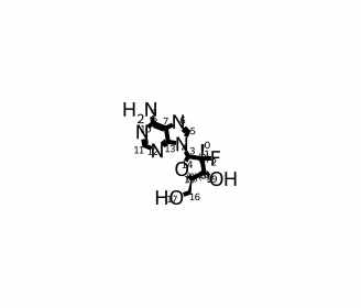 C[C@]1(F)C(n2cnc3c(N)ncnc32)O[C@H](CO)[C@@H]1O